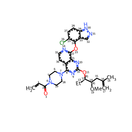 C=CC(=O)N1CCN(c2nc(O[C@H](CC)[C@@H](CC(=C)C)OC)nc3c(Oc4c(Cl)ccc5[nH]ncc45)nccc23)CC1